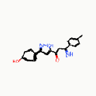 Cc1ccc(C(=N)CC(=O)c2cc(-c3ccc(O)cc3)n[nH]2)cc1